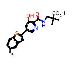 CC(C)c1ccc2sc(-c3cnc(C(=O)NCC(C)(C)C(=O)O)c(O)c3)cc2c1